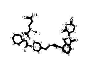 NC(=O)CC[C@H](N)C(=O)N[C@H](C(=O)N1CCC(CCC#Cc2cccc3c2CN(C2CCC(=O)NC2=O)C3=O)CC1)C1CCCCC1